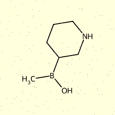 CB(O)C1CCCNC1